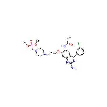 C=CC(=O)Nc1cc2c(-c3cccc(Br)c3)nc(N)nc2cc1OCCCN1CCN(CP(=O)(OCC)OCC)CC1